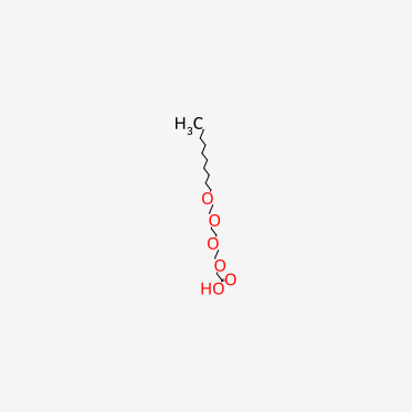 CCCCCCCCCCOCCOCCOCCOCC(=O)O